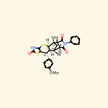 COc1ccc([C@@H]2c3sc(=O)[nH]c3S[C@H]3[C@H]4C[C@H]([C@H]5C(=O)N(c6ccccc6)C(=O)[C@@H]45)[C@@H]23)cc1